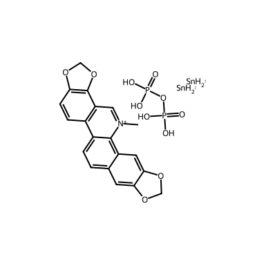 C[n+]1cc2c3c(ccc2c2ccc4cc5c(cc4c21)OCO5)OCO3.O=P(O)(O)OP(=O)(O)O.[SnH2].[SnH2]